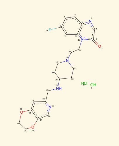 Cl.Cl.O=c1cnc2ccc(F)cc2n1CCN1CCC(NCc2cc3c(cn2)OCCO3)CC1